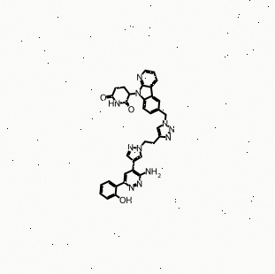 Nc1nnc(-c2ccccc2O)cc1-c1cnn(CCc2cn(Cc3ccc4c(c3)c3cccnc3n4C3CCC(=O)NC3=O)nn2)c1